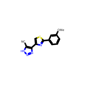 COc1cccc(-c2nc(-c3nn[nH]c3C#N)cs2)c1